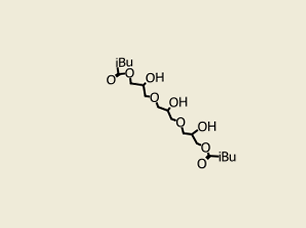 CCC(C)C(=O)OCC(O)COCC(O)COCC(O)COC(=O)C(C)CC